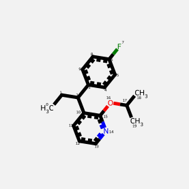 CCC(c1ccc(F)cc1)c1cccnc1OC(C)C